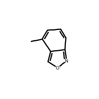 Cc1cccc2nocc12